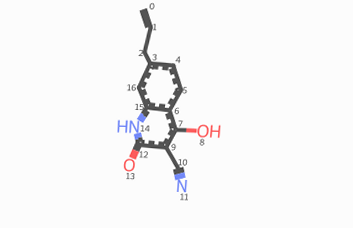 C=CCc1ccc2c(O)c(C#N)c(=O)[nH]c2c1